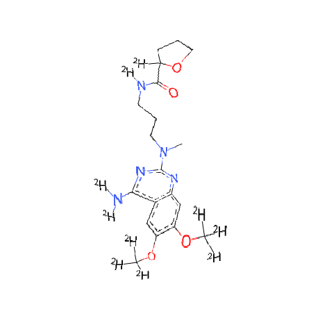 [2H]N(CCCN(C)c1nc(N([2H])[2H])c2cc(OC([2H])([2H])[2H])c(OC([2H])([2H])[2H])cc2n1)C(=O)C1([2H])CCCO1